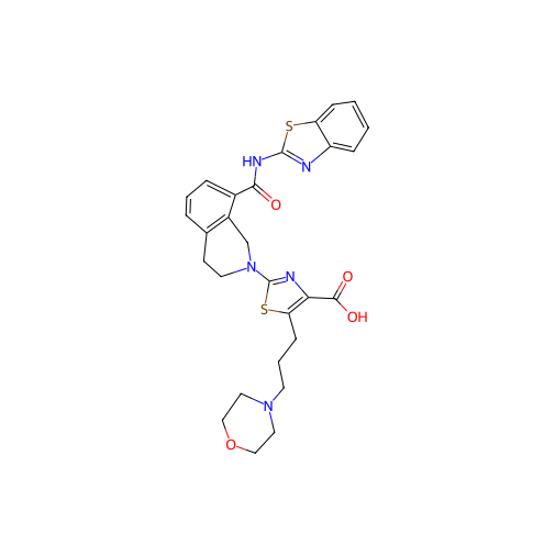 O=C(Nc1nc2ccccc2s1)c1cccc2c1CN(c1nc(C(=O)O)c(CCCN3CCOCC3)s1)CC2